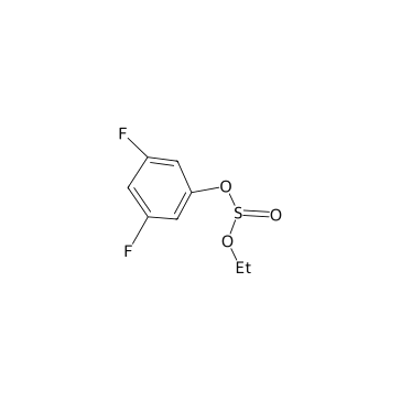 CCOS(=O)Oc1cc(F)cc(F)c1